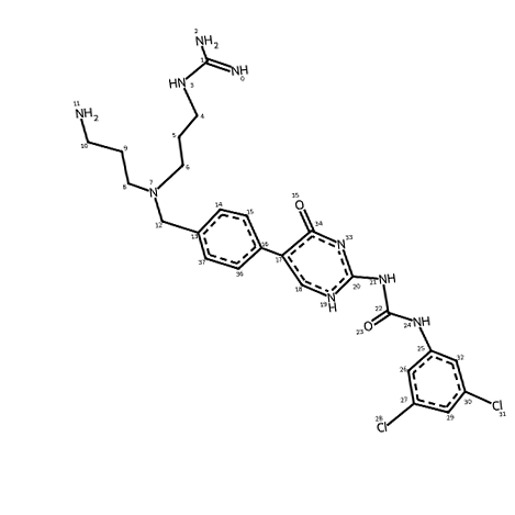 N=C(N)NCCCN(CCCN)Cc1ccc(-c2c[nH]c(NC(=O)Nc3cc(Cl)cc(Cl)c3)nc2=O)cc1